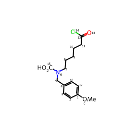 COc1ccc(CN(CCCCCC(=O)Cl)C(=O)O)cc1